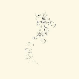 CC(=O)O[C@@]12CO[C@@H]1C[C@H](O)[C@@]1(C)C(=O)[C@H](C)C3=C(C)C(OC(=O)[C@H](OC(=O)COC(=O)CCC(=O)O[C@H]4CC[C@@]5(C)C(=CCC6C7CCC(C(C)CCCC(C)C)[C@@]7(C)CCC65)C4)[C@@H](NC(=O)c4ccccc4)c4ccccc4)C[C@@](O)([C@@H](OC(=O)c4ccccc4)[C@H]21)C3(C)C